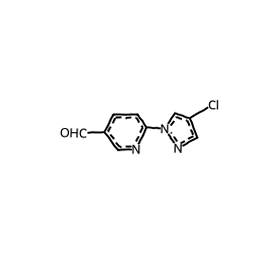 O=Cc1ccc(-n2cc(Cl)cn2)nc1